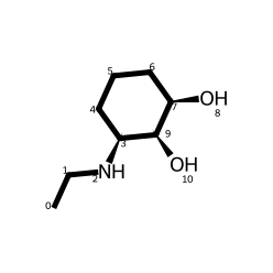 CCN[C@H]1CCC[C@@H](O)[C@H]1O